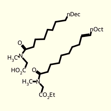 CCCCCCCCC=CCCCCCCCC(=O)N(C)CC(=O)OCC.CCCCCCCCCCCCCCCCCC(=O)N(C)CC(=O)O